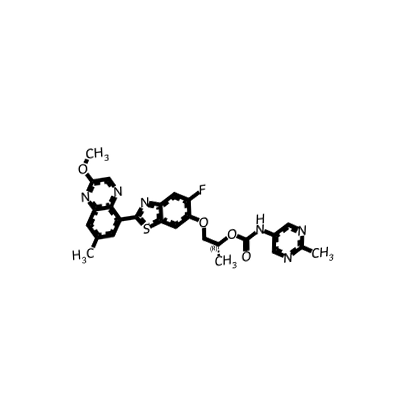 COc1cnc2c(-c3nc4cc(F)c(OC[C@@H](C)OC(=O)Nc5cnc(C)nc5)cc4s3)cc(C)cc2n1